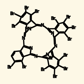 Brc1ccc2c(c1Br)-c1nc-2nc2[nH]c(nc3nc(nc4c5c(Br)c(Br)c(Br)c(Br)c5c(n1)n4Br)-c1c(Br)c(Br)c(Br)c(Br)c1-3)c1c(Br)c(Br)c(Br)c(Br)c21